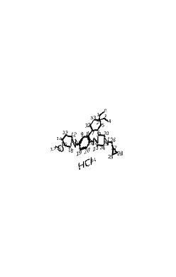 CCC1(CC)CCC(c2cc(N3CCC[C@H](OC)C3)ccc2N2CCN(CC3CC3)CC2)CC1.Cl